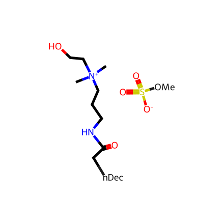 CCCCCCCCCCCC(=O)NCCC[N+](C)(C)CCO.COS(=O)(=O)[O-]